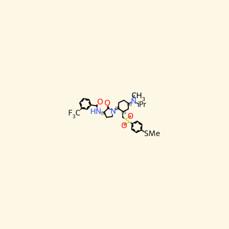 CSc1ccc(S(=O)(=O)C[C@@H]2C[C@H](N(C)C(C)C)CC[C@@H]2N2CC[C@H](NC(=O)c3cccc(C(F)(F)F)c3)C2=O)cc1